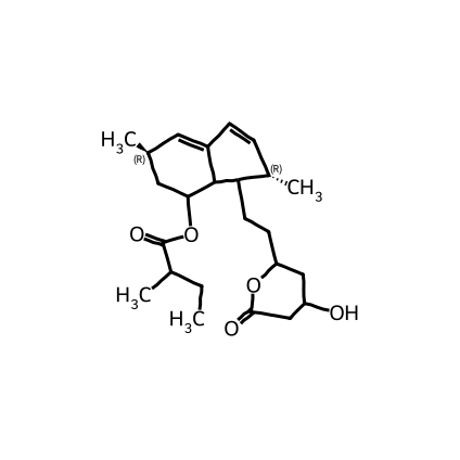 CCC(C)C(=O)OC1C[C@@H](C)C=C2C=C[C@H](C)C(CCC3CC(O)CC(=O)O3)C21